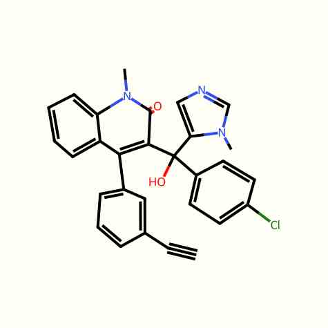 C#Cc1cccc(-c2c(C(O)(c3ccc(Cl)cc3)c3cncn3C)c(=O)n(C)c3ccccc23)c1